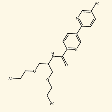 CC(=O)CCOCC(COCCC(C)=O)NC(=O)c1ccc(-c2ccc(C(C)=O)cn2)cn1